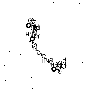 Cc1cc(Nc2ncc(Cl)c(Nc3ccccc3S(=O)(=O)C(C)C)n2)c(OC(C)C)cc1N1CCN(CCOCCOCCNC(=O)CNc2cccc3c2C(=O)N(C2CCCNC2=O)C3=O)CC1